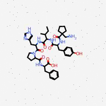 CCC(C)C(NC(=O)C(Cc1ccc(O)cc1)NC(=O)C1(CN)CCCC1)C(=O)NC(Cc1c[nH]cn1)C(=O)N1CCCC1C(=O)NC(Cc1ccccc1)C(=O)O